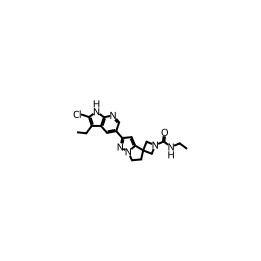 CCNC(=O)N1CC2(CCn3nc(-c4cnc5[nH]c(Cl)c(CC)c5c4)cc32)C1